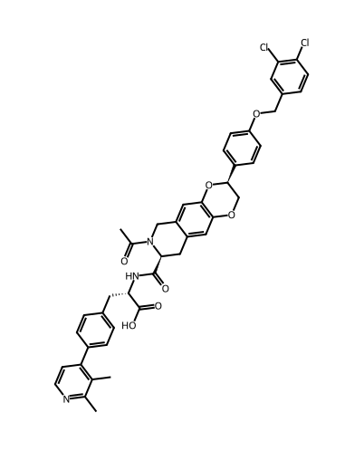 CC(=O)N1Cc2cc3c(cc2C[C@H]1C(=O)N[C@@H](Cc1ccc(-c2ccnc(C)c2C)cc1)C(=O)O)OC[C@H](c1ccc(OCc2ccc(Cl)c(Cl)c2)cc1)O3